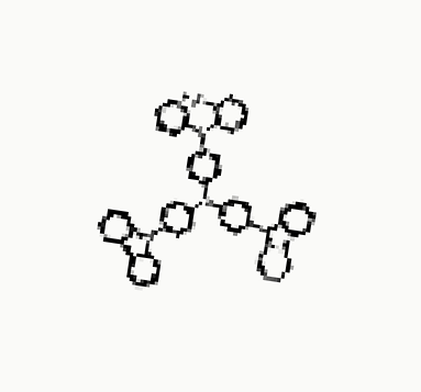 Cc1ccccc1N(c1ccccc1)c1ccc(N(c2ccc(-n3c4c(c5ccccc53)CCC=C4)cc2)c2ccc(-n3c4ccccc4c4ccccc43)cc2)cc1